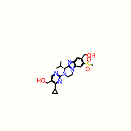 CC(C)[C@H]1c2nc3cc(CO)c(S(C)(=O)=O)cc3n2CCN1c1ncc(CO)c(C2CC2)n1